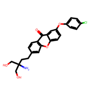 NC(CO)(CO)CCc1ccc2c(=O)c3cc(Oc4ccc(Cl)cc4)ccc3oc2c1